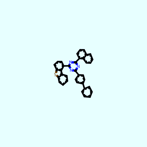 c1ccc(-c2ccc(-c3nc(-c4cccc5ccccc45)nc(-c4cccc5sc6ccccc6c45)n3)cc2)cc1